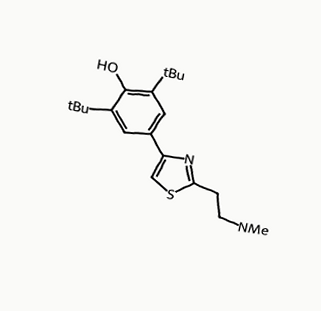 CNCCc1nc(-c2cc(C(C)(C)C)c(O)c(C(C)(C)C)c2)cs1